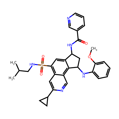 COc1ccccc1NC1CC(NC(=O)c2cccnc2)c2cc(S(=O)(=O)NCC(C)C)c3cc(C4CC4)ncc3c21